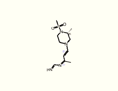 CC(/C=C/N1CCN(S(C)(=O)=O)[C@H](C)C1)=N/C=N